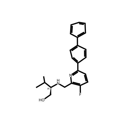 CC(C)[C@H](CO)NCc1nc(-c2ccc(-c3ccccc3)cc2)ccc1F